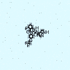 CC(Nc1ncnc2[nH]ccc12)c1nc2cccc(F)c2c(=O)n1-c1ccc(OCC(F)(F)F)cc1